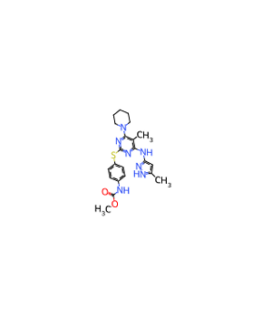 COC(=O)Nc1ccc(Sc2nc(Nc3cc(C)[nH]n3)c(C)c(N3CCCCC3)n2)cc1